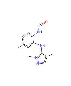 Cc1ccc(NC=O)c(Nc2c(C)cnn2C)c1